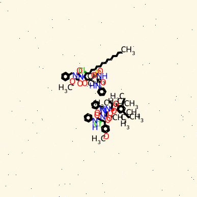 CCCCCCCCCCCC(CCC(Cl)C(C(=O)C(C)(C)C)N1C(=O)C(OCC)N(Cc2ccccc2)C1=O)S(=O)(=O)NCC(=O)Nc1ccccc1.CCOC1(NC(=O)C(CC)Oc2ccc(C(C)(C)CC)cc2C(C)(C)CC)C(=O)N(C(Cl)(C(=O)Nc2ccccc2)C(=O)c2ccc(OC)cc2)C(=O)N1Cc1ccccc1